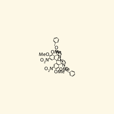 COc1c([N+](=O)[O-])cc(C(=O)c2cc([N+](=O)[O-])c(OC)c(OC)c2-c2nccn2COCc2ccccc2)c(-c2nccn2COCc2ccccc2)c1OC